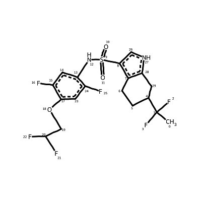 CC(F)(F)C1CCc2c(S(=O)(=O)Nc3cc(F)c(OCC(F)F)cc3F)c[nH]c2C1